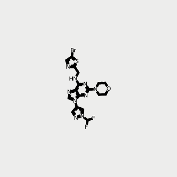 FC(F)n1cc(-n2cnc3c(NCc4ncc(Br)s4)nc(N4CCOCC4)nc32)cn1